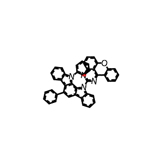 c1ccc(-c2cc3c4ccccc4n(-c4nc5c6c(cccc6n4)Oc4ccccc4-5)c3c3c2c2ccccc2n3-c2ccccc2)cc1